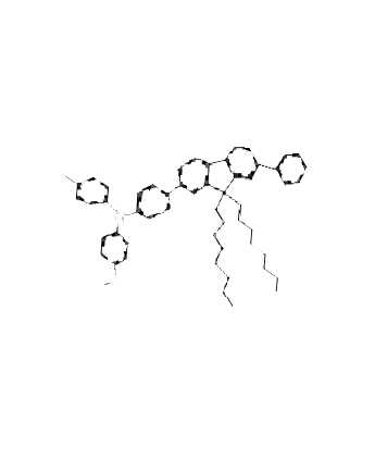 CCCCCCCCC1(CCCCCCCC)c2cc(-c3ccccc3)ccc2-c2ccc(-c3ccc(N(c4ccc(C)cc4)c4ccc(OC)cc4)cc3)cc21